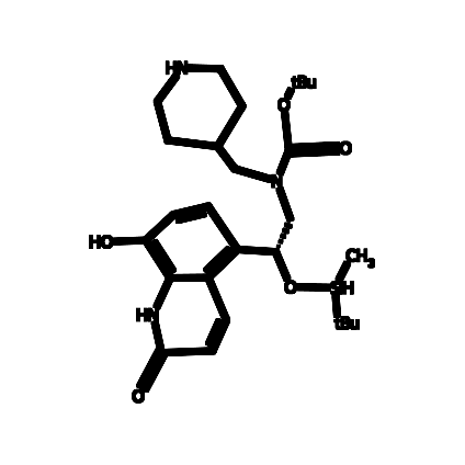 C[SiH](O[C@@H](CN(CC1CCNCC1)C(=O)OC(C)(C)C)c1ccc(O)c2[nH]c(=O)ccc12)C(C)(C)C